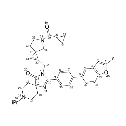 Cc1cc2cc(-c3ccc(C4=NC5(CCN(C(C)C)CC5)C(=O)N4CC4=CC45CCN(C(=O)C4CC4)C5)cc3)ccc2o1